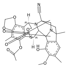 COc1c(C)cc2c(c1O)C1C3[C@@H]4SCC(=O)C(=O)OC[C@@H](c5c6c(c(C)c(OC(C)=O)c54)OCO6)N3C3(C#N)CN1C2(C)C3